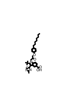 CCCCCCCCc1ccc(OCC(=O)Cn2c(C(C)(C)C)c(-c3nc(C)no3)c3cc(C(=O)O)ccc32)cc1